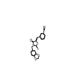 N#Cc1cccc(/C=C2\SC(=S)N(Cc3ccc4c(c3)OCO4)C2=O)c1